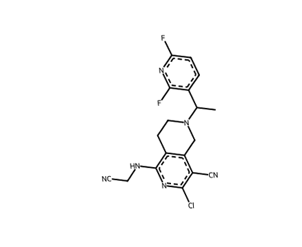 CC(c1ccc(F)nc1F)N1CCc2c(NCC#N)nc(Cl)c(C#N)c2C1